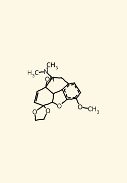 COc1ccc2c3c1OC1C3C(O)(C=CC13OCCO3)C(N(C)C)C2